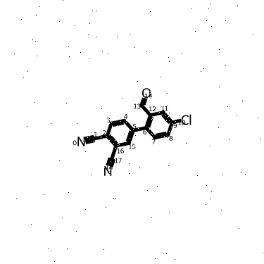 N#Cc1ccc(-c2ccc(Cl)cc2C=O)cc1C#N